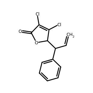 C=CC(c1ccccc1)C1OC(=O)C(Cl)=C1Cl